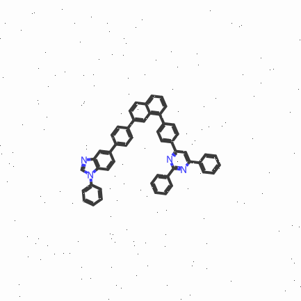 c1ccc(-c2cc(-c3ccc(-c4cccc5ccc(-c6ccc(-c7ccc8c(c7)ncn8-c7ccccc7)cc6)cc45)cc3)nc(-c3ccccc3)n2)cc1